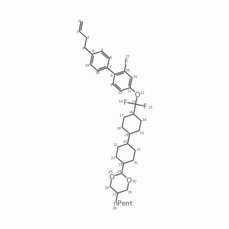 C=CCCc1ccc(-c2ccc(OC(F)(F)C3CCC(C4CCC(C5OCC(CCCCC)CO5)CC4)CC3)cc2F)cc1